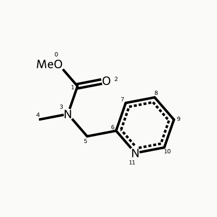 COC(=O)N(C)Cc1ccccn1